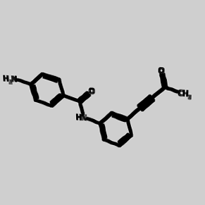 CC(=O)C#Cc1cccc(NC(=O)c2ccc(N)cc2)c1